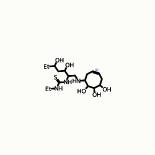 CCNC(=S)NC(CNC1C/C=C\CC(O)C(O)C1O)C(O)CC(O)CC